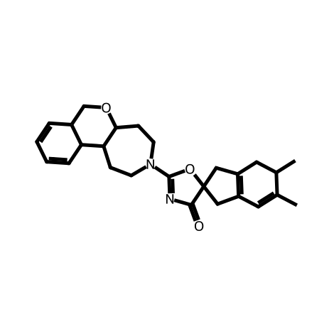 CC1=CC2=C(CC1C)CC1(C2)OC(N2CCC3OCC4C=CC=CC4C3CC2)=NC1=O